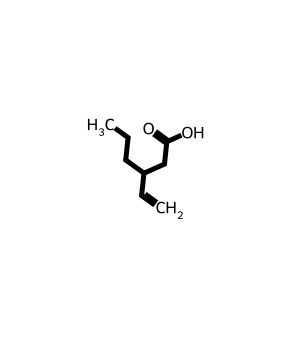 C=CC(CCC)CC(=O)O